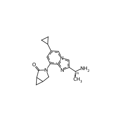 C[C@H](N)c1cn2cc(C3CC3)cc(N3CC4CC4C3=O)c2n1